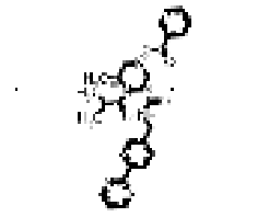 CC(C)C(=O)N1[C@H](C)CN(OC(=O)c2ccccc2)C[C@@H]1C(=O)NCc1ccc(-c2ncccn2)cc1